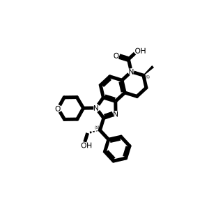 C[C@H]1CCc2c(ccc3c2nc([C@@H](CO)c2ccccc2)n3C2CCOCC2)N1C(=O)O